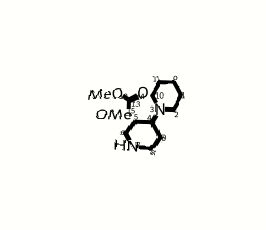 C1CCN(C2CCNCC2)CC1.COC(=O)OC